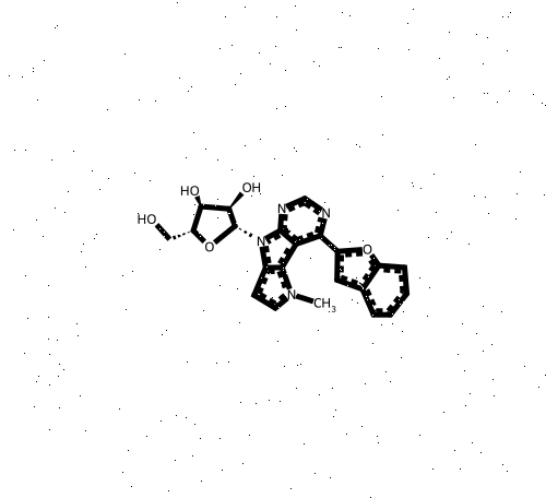 Cn1ccc2c1c1c(-c3cc4ccccc4o3)ncnc1n2[C@@H]1O[C@H](CO)[C@@H](O)[C@H]1O